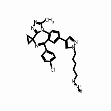 Cc1nnc2n1-c1ccc(-c3cnn(CCCCCN=[N+]=[N-])c3)cc1C(c1ccc(Cl)cc1)=NC21CC1